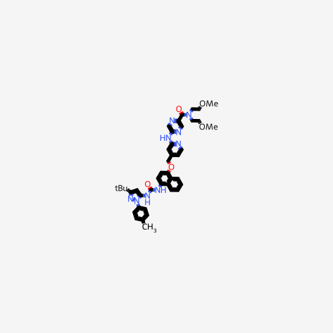 COCCN(CCOC)C(=O)c1cnc(Nc2cc(COc3ccc(NC(=O)Nc4cc(C(C)(C)C)nn4-c4ccc(C)cc4)c4ccccc34)ccn2)cn1